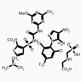 COc1nc(C)nc(NC(=O)NS(=O)(=O)c2ccsc2C(=O)O)n1.C[S+](C)C.Nc1c([N+](=O)[O-])cnn1-c1c(Cl)cc(C(F)(F)F)cc1Cl.O=C(O)CNCP(=O)([O-])O